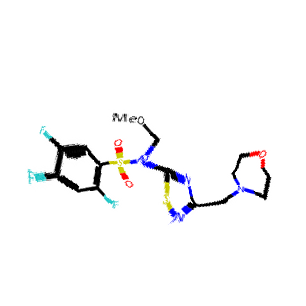 COCN(c1nc(CN2CCOCC2)ns1)S(=O)(=O)c1cc(F)c(F)cc1F